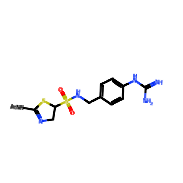 CC(=O)NC1=NCC(S(=O)(=O)NCc2ccc(NC(=N)N)cc2)S1